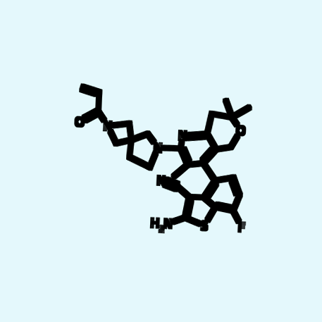 C=CC(=O)N1CC2(CCN(c3nc4c(c(-c5ccc(F)c6sc(N)c(C#N)c56)c3C)COC(C)(C)C4)C2)C1